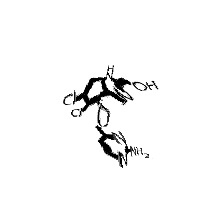 Nc1nccc(COc2c(Cl)c(Cl)cc3[nH]c(CO)nc23)n1